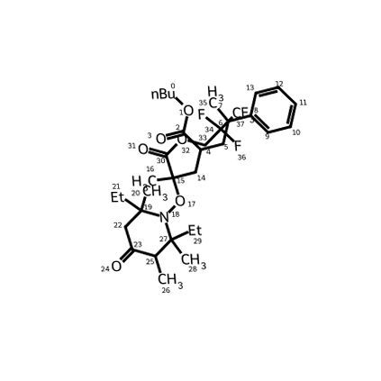 CCCCOC(=O)C(CC(C)c1ccccc1)CC(C)(ON1C(C)(CC)CC(=O)C(C)C1(C)CC)C(=O)OCC(F)(F)C(F)(F)F